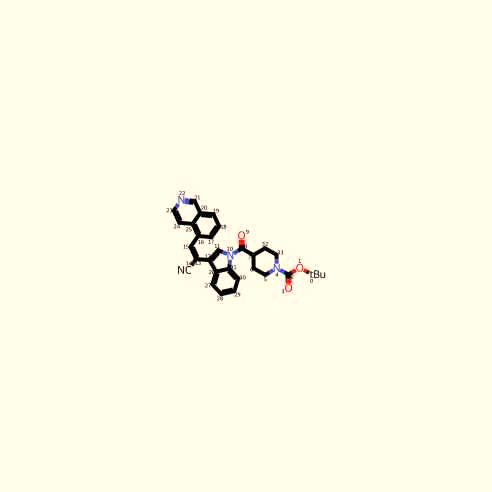 CC(C)(C)OC(=O)N1CCC(C(=O)n2cc(C(C#N)=Cc3cccc4cnccc34)c3ccccc32)CC1